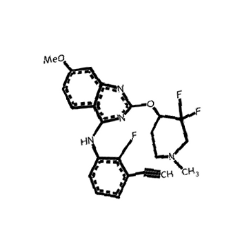 C#Cc1cccc(Nc2nc(OC3CCN(C)CC3(F)F)nc3cc(OC)ccc23)c1F